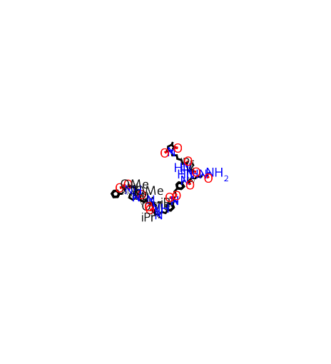 CC[C@H](C)[C@@H]([C@@H](CC(=O)N1CCC[C@H]1[C@H](OC)[C@@H](C)C(=O)N[C@@H](Cc1ccccc1)C(=O)OC)OC)N(C)C(=O)[C@H](CC(C)C)NC(=O)[C@H](C(C)C)N(C)CCc1ccc(N(C)C(=O)OCc2ccc(NC(=O)[C@H](CCCNC(N)=O)NC(=O)[C@H](CC(C)C)NC(=O)CCCCCN3C(=O)CC(C)C3=O)cc2)cc1